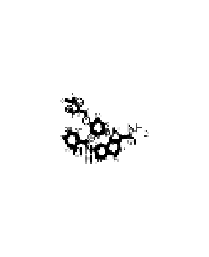 CC1(C)OCC(COc2ccc(-n3nc(C(N)=O)c4c3-c3cc(NC(=O)c5ccccc5Cl)ccc3CC4)cc2)O1